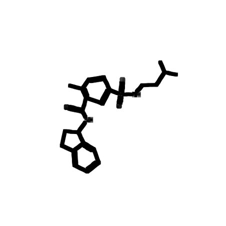 Cc1ccc(S(=O)(=O)NCCC(C)C)cc1C(=O)NC1CCc2ccccc21